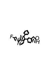 O=C1Cc2cc(-c3c(-c4ccccc4)nn4c(N5CC(F)C5)nccc34)ccc2N1